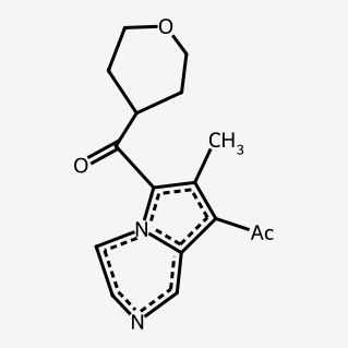 CC(=O)c1c(C)c(C(=O)C2CCOCC2)n2ccncc12